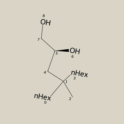 CCCCCCC(C)(CCCCCC)C[C@H](O)CO